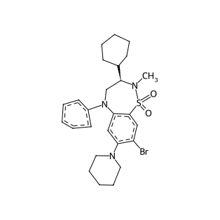 CN1[C@H](C2CCCCC2)CN(c2ccccc2)c2cc(N3CCCCC3)c(Br)cc2S1(=O)=O